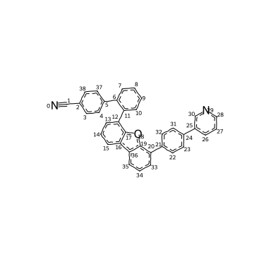 N#Cc1ccc(-c2ccccc2-c2cccc3c2oc2c(-c4ccc(-c5cccnc5)cc4)cccc23)cc1